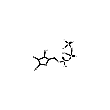 BC1OC(COP(=O)(O)OP(=O)(O)OP(=O)(O)O)C(O)C1F